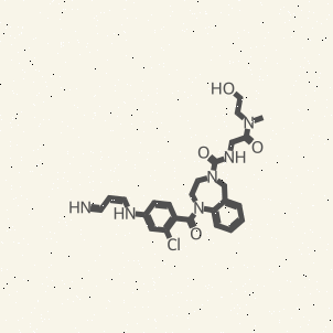 CN(CCO)C(=O)CNC(=O)N1CCN(C(=O)c2ccc(N/C=C\C=N)cc2Cl)c2ccccc2C1